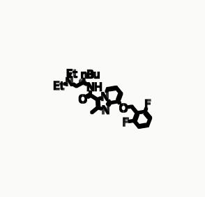 CCCC[C@H](CN(CC)CC)NC(=O)c1c(C)nc2c(OCc3c(F)cccc3F)cccn12